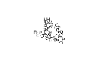 CCOC(=O)Cc1ccccc1OCc1coc2c(OCCF)cc(-c3cccc(CN)c3)cc12